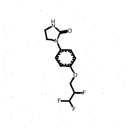 O=C1NCCN1c1ccc(OCC(F)C(F)F)cc1